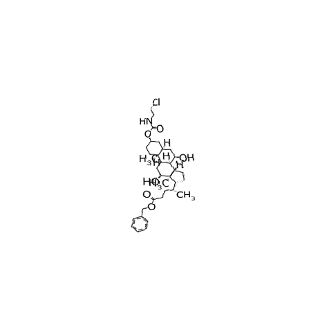 C[C@H](CCC(=O)OCc1ccccc1)[C@H]1CC[C@H]2[C@@H]3[C@H](O)C[C@@H]4C[C@H](OC(=O)NCCCl)CC[C@]4(C)[C@H]3C[C@H](O)[C@]12C